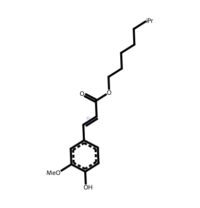 COc1cc(/C=C/C(=O)OCCCCCC(C)C)ccc1O